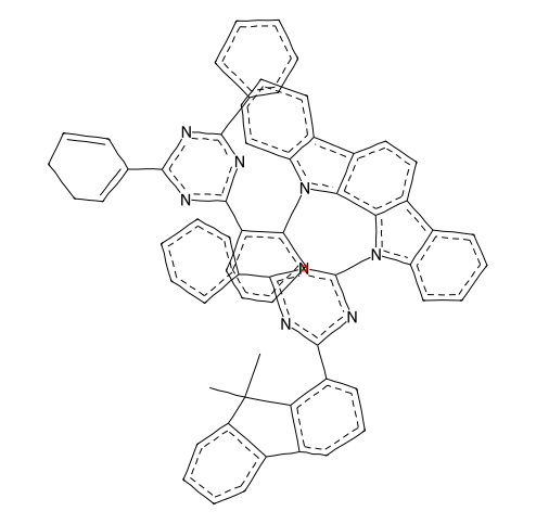 CC1(C)c2ccccc2-c2cccc(-c3nc(-c4ccccc4)nc(-n4c5ccccc5c5ccc6c7ccccc7n(-c7ccccc7-c7nc(C8=CCCC=C8)nc(-c8ccccc8)n7)c6c54)n3)c21